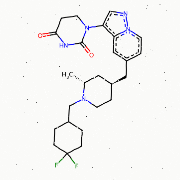 C[C@@H]1C[C@@H](Cc2ccn3ncc(N4CCC(=O)NC4=O)c3c2)CCN1CC1CCC(F)(F)CC1